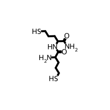 NC(=O)C(CCCS)NC(=O)C(N)CCCS